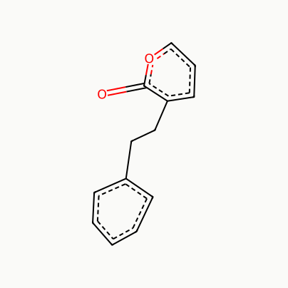 O=c1occcc1CCc1ccccc1